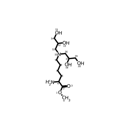 COC(=O)C(N)CCCCN(CC(O)CO)CC(O)CO